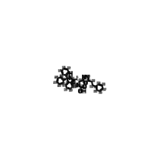 O=C(O)N[C@H](CC(=O)NC(c1ccccc1)(c1ccccc1)c1ccccc1)c1nnc(CCc2ccccc2)o1